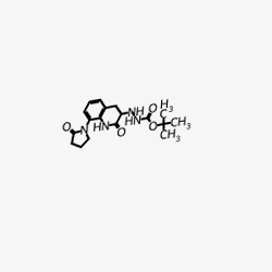 CC(C)(C)OC(=O)NNC1Cc2cccc(N3CCCC3=O)c2NC1=O